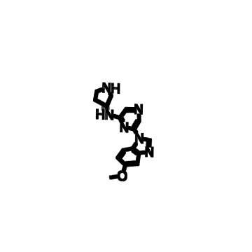 COc1ccc2c(c1)ncn2-c1cncc(N[C@@H]2CCNC2)n1